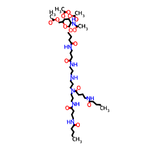 CCCCC(=O)NCCCC(=O)NCCCN(CCCNCCCNC(=O)CCCNC(=O)CCCO[C@@H]1OC(COC(C)=O)[C@H](OC(C)=O)C(OC(C)=O)[C@@H]1NC(C)=O)C(=O)CCCNC(=O)CCCC